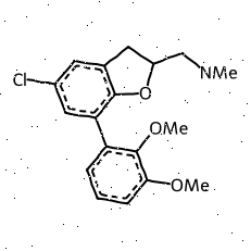 CNCC1Cc2cc(Cl)cc(-c3cccc(OC)c3OC)c2O1